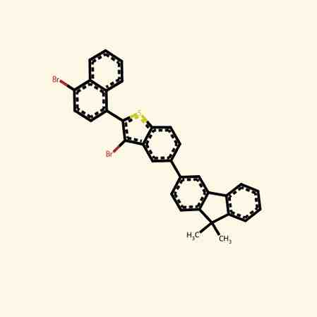 CC1(C)c2ccccc2-c2cc(-c3ccc4sc(-c5ccc(Br)c6ccccc56)c(Br)c4c3)ccc21